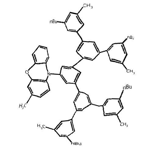 CCCCc1cc(C)cc(-c2cc(-c3cc(C)cc(CCCC)c3)cc(-c3cc(-c4cc(-c5cc(C)cc(CCCC)c5)cc(-c5cc(C)cc(CCCC)c5)c4)cc(N4c5ccccc5Oc5cc(C)ccc54)c3)c2)c1